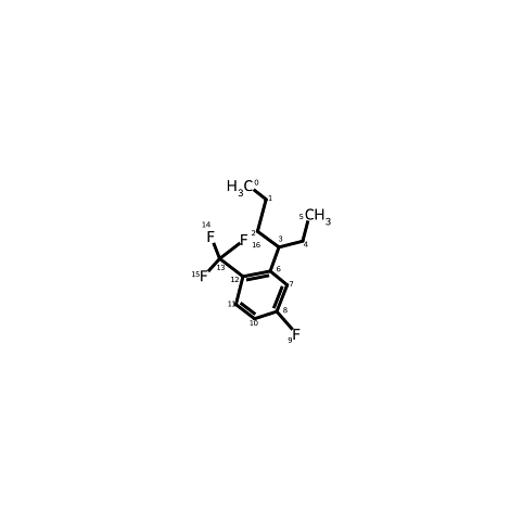 CCCC(CC)c1cc(F)ccc1C(F)(F)F